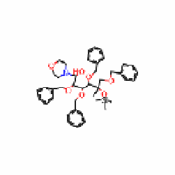 CC(COCc1ccccc1)(O[Si](C)(C)C)[C@@H](OCc1ccccc1)[C@H](OCc1ccccc1)[C@@H](OCc1ccccc1)C(O)N1CCOCC1